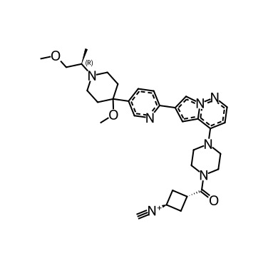 C#[N+][C@H]1C[C@H](C(=O)N2CCN(c3ccnn4cc(-c5ccc(C6(OC)CCN([C@H](C)COC)CC6)cn5)cc34)CC2)C1